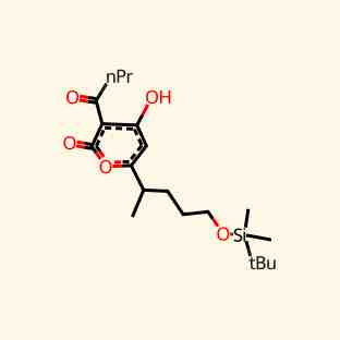 CCCC(=O)c1c(O)cc(C(C)CCCO[Si](C)(C)C(C)(C)C)oc1=O